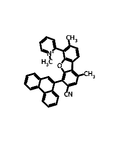 Cc1ccc2c(oc3c(-c4cc5ccccc5c5ccccc45)c(C#N)cc(C)c32)c1-c1cccc[n+]1C